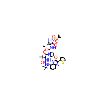 C=C[C@@H]1C[C@]1(NC(=O)[C@@H]1C[C@@H](Oc2nc3ccccc3nc2-c2cccs2)CN1C(=O)[C@@H](NC(=O)NC(C)(C)C)C(C)(C)C)C(=O)NS(=O)(=O)C1CC1